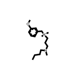 CCCCN(C)CCC[N+](C)(C)Cc1cccc(OC)c1